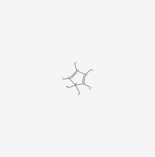 [CH2]C1=C(C)C(C)=C(C)C1(C)C